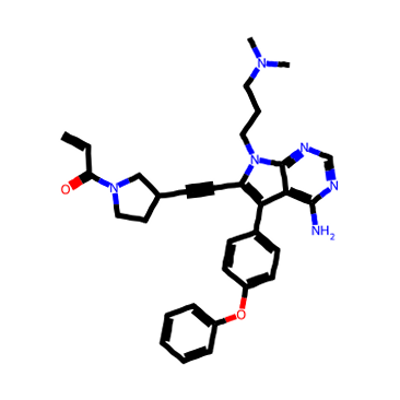 C=CC(=O)N1CCC(C#Cc2c(-c3ccc(Oc4ccccc4)cc3)c3c(N)ncnc3n2CCCN(C)C)C1